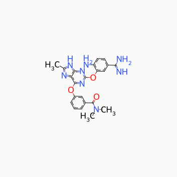 Cc1nc2c(Oc3cccc(C(=O)N(C)C)c3)nc(Oc3cc(C(=N)N)ccc3N)nc2[nH]1